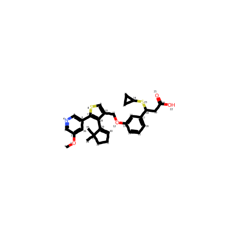 COc1cncc(-c2scc(COc3cccc(C(CC(=O)O)SC4CC4)c3)c2C2=CCCC2(C)C)c1